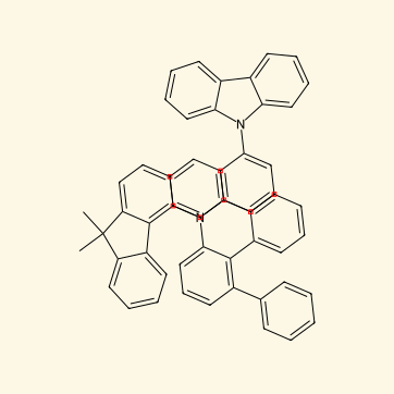 CC1(C)c2ccccc2-c2c(N(c3cccc(-n4c5ccccc5c5ccccc54)c3)c3cccc(-c4ccccc4)c3-c3ccccc3-c3ccccc3)cccc21